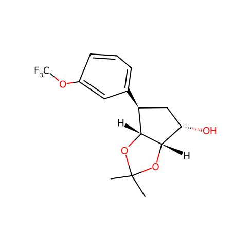 CC1(C)O[C@@H]2[C@H](O1)[C@@H](c1cccc(OC(F)(F)F)c1)C[C@@H]2O